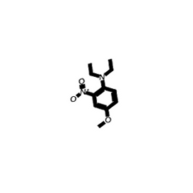 CCN(CC)c1ccc(OC)cc1[N+](=O)[O-]